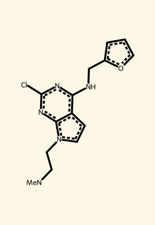 CNCCn1ccc2c(NCc3ccco3)nc(Cl)nc21